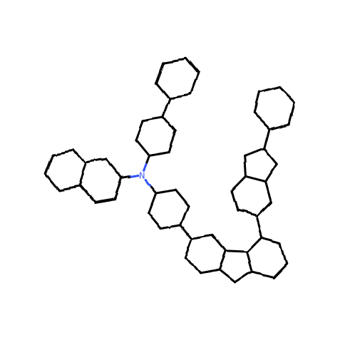 C1CCC(C2CCC(N(C3CCC(C4CCC5CC6CCCC(C7CCC8CC(C9CCCCC9)CC8C7)C6C5C4)CC3)C3CCC4CCCCC4C3)CC2)CC1